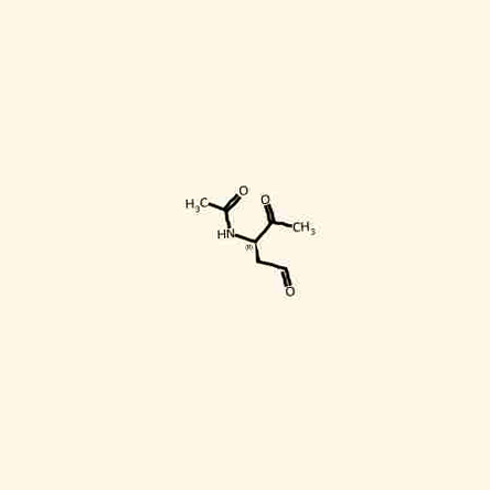 CC(=O)N[C@H](CC=O)C(C)=O